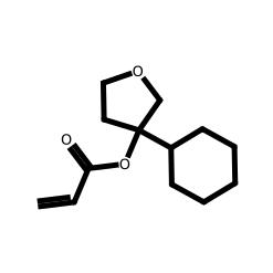 C=CC(=O)OC1(C2CCCCC2)CCOC1